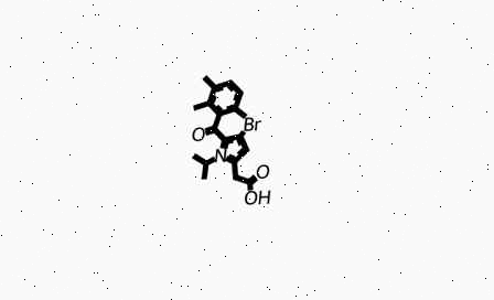 Cc1ccc(C)c(C(=O)c2c(Br)cc(CC(=O)O)n2C(C)C)c1C